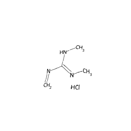 C=NC(=NC)NC.Cl